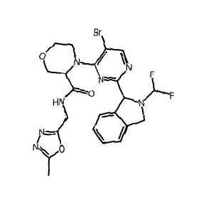 Cc1nnc(CNC(=O)C2COCCN2c2nc(C3c4ccccc4CN3C(F)F)ncc2Br)o1